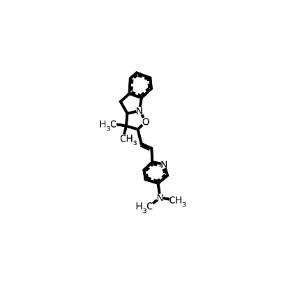 CN(C)c1ccc(C=CC2ON3c4ccccc4CC3C2(C)C)nc1